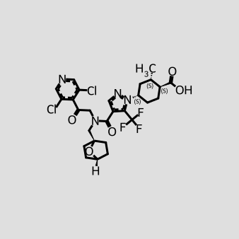 C[C@H]1C[C@@H](n2ncc(C(=O)N(CC(=O)c3c(Cl)cncc3Cl)C[C@]34CC[C@H](CC3)O4)c2C(F)(F)F)CC[C@@H]1C(=O)O